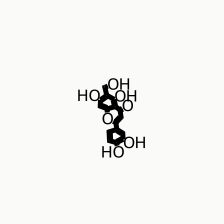 O=c1cc(-c2ccc(O)c(O)c2)oc2cc(O)c(CO)c(O)c12